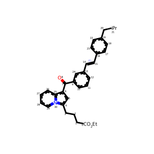 CCOC(=O)CCCc1cc(C(=O)c2cccc(/C=C/c3ccc(CC(C)C)cc3)c2)c2ccccn12